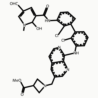 COC(=O)C1CN(Cc2cnc3c(Nc4cccc(-c5cccc(NC(=O)C6=CC(C=O)=CN(C)C6O)c5Cl)c4Cl)nccc3c2)C1